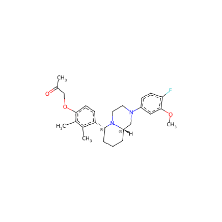 COc1cc(N2CCN3[C@@H](CCC[C@@H]3c3ccc(OCC(C)=O)c(C)c3C)C2)ccc1F